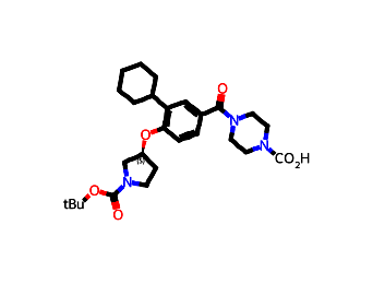 CC(C)(C)OC(=O)N1CC[C@H](Oc2ccc(C(=O)N3CCN(C(=O)O)CC3)cc2C2CCCCC2)C1